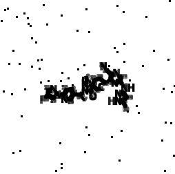 CO[C@]1(C(=O)N[C@@H](C)c2ccc(-n3cc(F)cn3)nc2)CC[C@H](c2nc(Nc3cc(C)[nH]n3)cnc2C#N)CC1